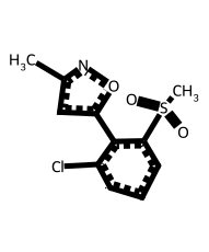 Cc1cc(-c2c(Cl)[c]ccc2S(C)(=O)=O)on1